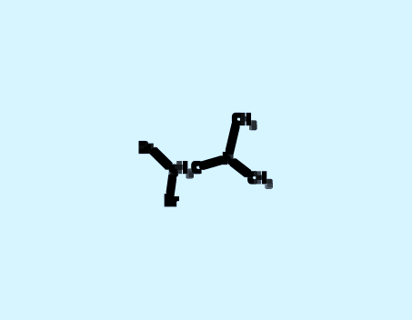 BrSBr.CN(C)C